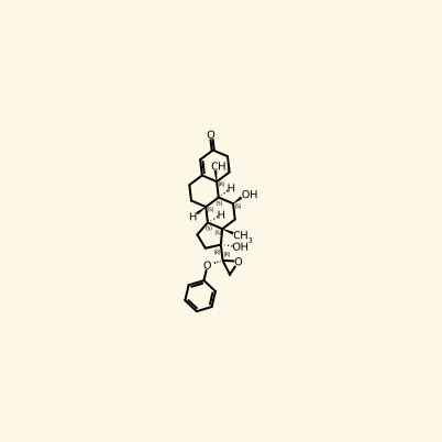 C[C@]12CCC(=O)C=C1CC[C@@H]1[C@@H]2[C@@H](O)C[C@@]2(C)[C@H]1CC[C@]2(O)[C@]1(Oc2ccccc2)CO1